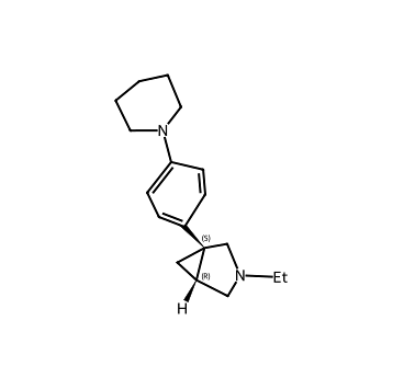 CCN1C[C@@H]2C[C@]2(c2ccc(N3CCCCC3)cc2)C1